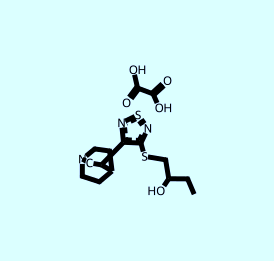 CCC(O)CSc1nsnc1C1CN2CCC1CC2.O=C(O)C(=O)O